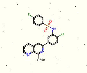 COc1nc(-c2ccc(Cl)c(NS(=O)(=O)c3ccc(F)cc3)c2)cc2cccnc12